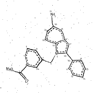 COC(=O)c1cccc(Cn2c(-c3ccccc3)cc3cc(N)ccc32)c1